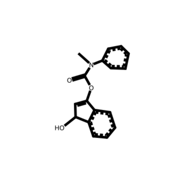 CN(C(=O)OC1=CC(O)c2ccccc21)c1ccccc1